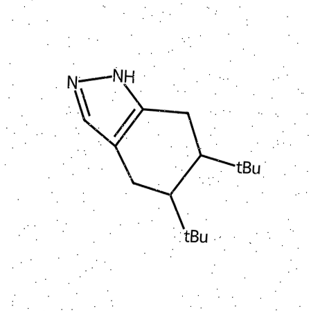 CC(C)(C)C1Cc2cn[nH]c2CC1C(C)(C)C